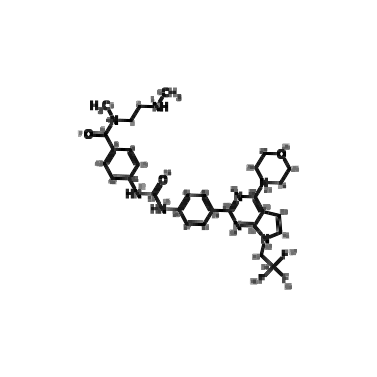 CNCCN(C)C(=O)c1ccc(NC(=O)Nc2ccc(-c3nc(N4CCOCC4)c4ccn(CC(F)(F)F)c4n3)cc2)cc1